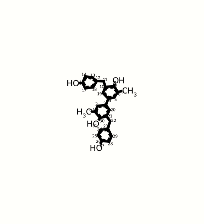 Cc1cc(-c2cc(C)c(O)c(Cc3ccc(O)cc3)c2)cc(Cc2ccc(O)cc2)c1O